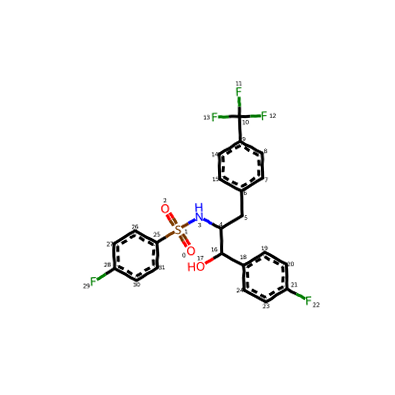 O=S(=O)(NC(Cc1ccc(C(F)(F)F)cc1)C(O)c1ccc(F)cc1)c1ccc(F)cc1